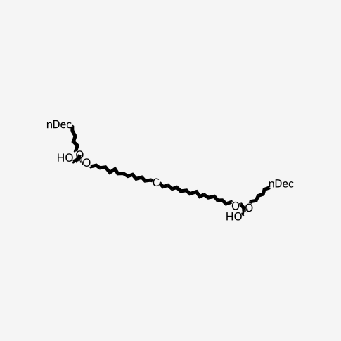 CCCCCCCCCCCCCCCCO[C@@H](CO)COCCCCCCCCCCCCCCCCCCCCCCCCCCCCCCCCOC[C@H](CO)OCCCCCCCCCCCCCCCC